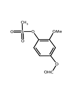 COc1cc(OC=O)ccc1OS(C)(=O)=O